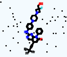 CC(C)[Si](C#Cc1cc(=O)n(-c2ccccc2)c2nc(Nc3ccc(N4CCC(N5CC(F)(CO)C5)CC4)cc3)ncc12)(C(C)C)C(C)C